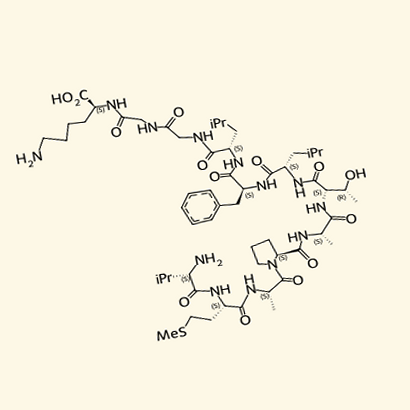 CSCC[C@H](NC(=O)[C@@H](N)C(C)C)C(=O)N[C@@H](C)C(=O)N1CCC[C@H]1C(=O)N[C@@H](C)C(=O)N[C@H](C(=O)N[C@@H](CC(C)C)C(=O)N[C@@H](Cc1ccccc1)C(=O)N[C@@H](CC(C)C)C(=O)NCC(=O)NCC(=O)N[C@@H](CCCCN)C(=O)O)[C@@H](C)O